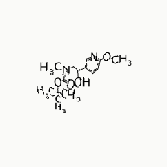 COc1ccc(C(O)CN(C)C(=O)OC(C)(C)C)cn1